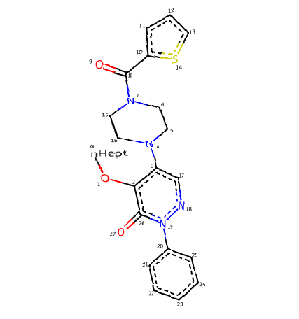 CCCCCCCOc1c(N2CCN(C(=O)c3cccs3)CC2)cnn(-c2ccccc2)c1=O